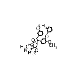 CCOC(=O)N(CC(OC)OC)C(Cc1cccc(OC)c1)c1ccc(OC)c(OCc2ccccc2)c1